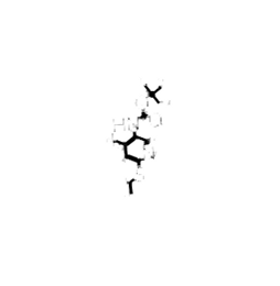 CCSc1cc(I)c(NC(=O)OC(C)(C)C)cn1